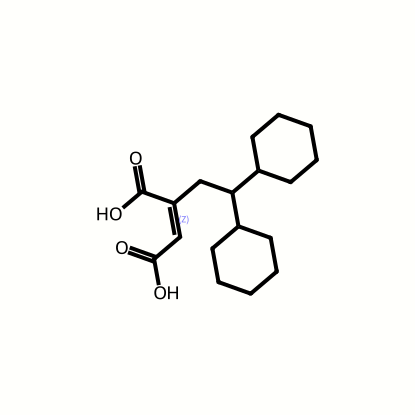 O=C(O)/C=C(/CC(C1CCCCC1)C1CCCCC1)C(=O)O